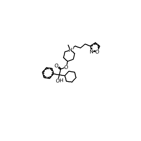 C[N+]1(CCCc2ccon2)CCC(OC(=O)C(O)(c2ccccc2)C2CCCCC2)CC1